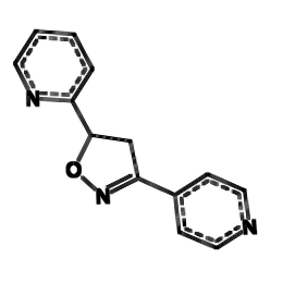 c1ccc(C2CC(c3ccncc3)=NO2)nc1